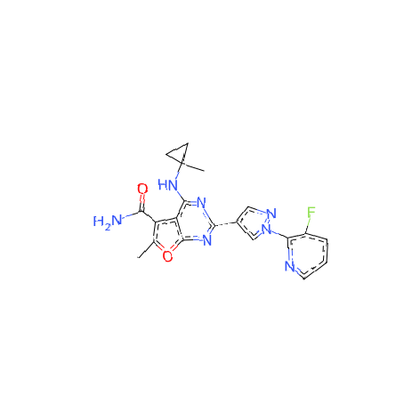 Cc1oc2nc(-c3cnn(-c4ncccc4F)c3)nc(NC3(C)CC3)c2c1C(N)=O